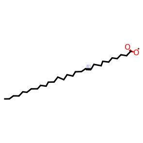 CCCCCCCCCCCCCCCCCC/C=C/CCCCCCCCC(=O)OC